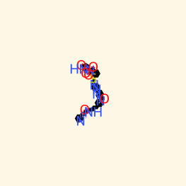 O=C(/C=C/c1cccnc1)NCCCCC1CCN(C(=O)c2ccc(N3CCN(CCSc4cccc5c4C(=O)N(C4CCC(=O)NC4=O)C5=O)CC3)nc2)CC1